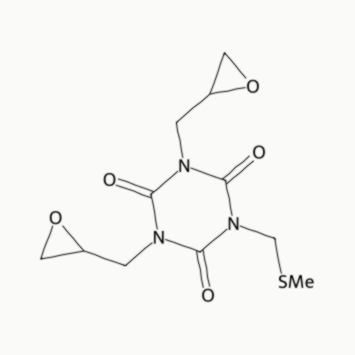 CSCn1c(=O)n(CC2CO2)c(=O)n(CC2CO2)c1=O